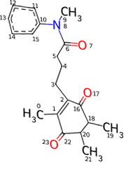 CC1=C(CCCC(=O)N(C)c2ccccc2)C(=O)C(C)C(C)C1=O